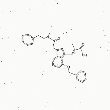 C/C(=C\c1cn(CC(=O)N(C)CCc2ccccc2)c2cccc(OCc3ccccc3)c12)C(=O)O